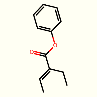 C/C=C(\CC)C(=O)Oc1ccccc1